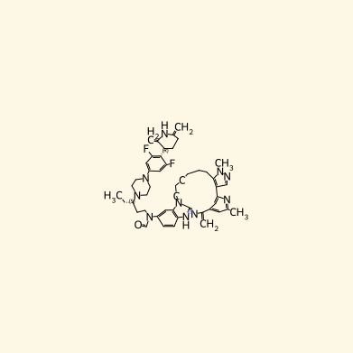 C=C1CC[C@H](c2c(F)cc(N3CCN([C@@H](CC)CCN(C=O)c4ccc5c(c4)N4CCCCCCc6c(cnn6C)-c6cc(cc(C)n6)C(=C)/N=C/4N5)CC3)cc2F)C(=C)N1